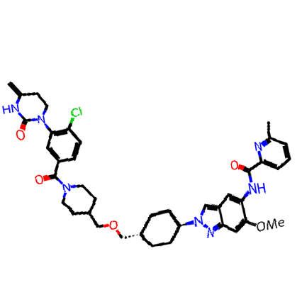 C=C1CCN(c2cc(C(=O)N3CCC(COC[C@H]4CC[C@H](n5cc6cc(NC(=O)c7cccc(C)n7)c(OC)cc6n5)CC4)CC3)ccc2Cl)C(=O)N1